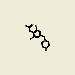 CC(=O)Cc1c(F)cc(CN2CCNCC2)cc1F